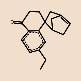 CCc1ccc2c(c1)C1(CCC2=O)CC2=CCC1C2